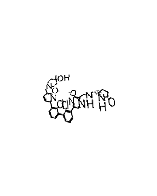 COc1nc(-c2cccc(-c3cccc(-c4cnc(CNC[C@@H]5CCC(=O)N5)c(OC)n4)c3Cl)c2Cl)ccc1CN1CCC(C)(O)CC1